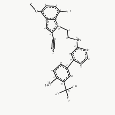 COc1ccc(F)c2c1cc(C#N)n2CCNc1cc(-c2ccc(O)c(C(F)(F)F)c2)ncn1